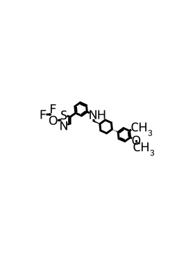 COc1ccc([C@H]2CC[C@H](CNc3cccc(-c4cnc(OC(F)F)s4)c3)CC2)cc1C